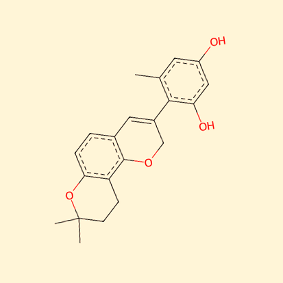 Cc1cc(O)cc(O)c1C1=Cc2ccc3c(c2OC1)CCC(C)(C)O3